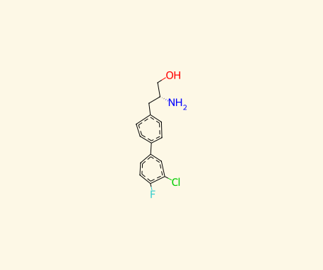 N[C@@H](CO)Cc1ccc(-c2ccc(F)c(Cl)c2)cc1